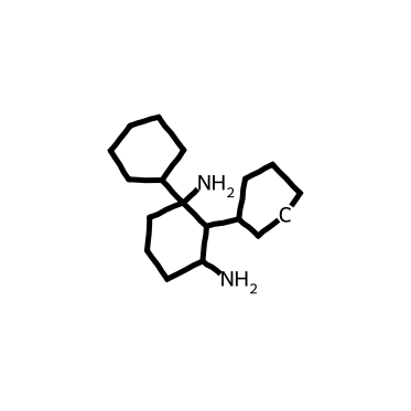 NC1CCCC(N)(C2CCCCC2)C1C1CCCCC1